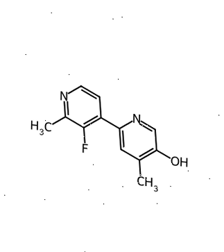 Cc1cc(-c2ccnc(C)c2F)ncc1O